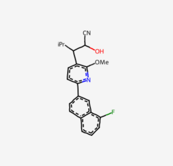 COc1nc(-c2ccc3cccc(F)c3c2)ccc1C(C(C)C)C(O)C#N